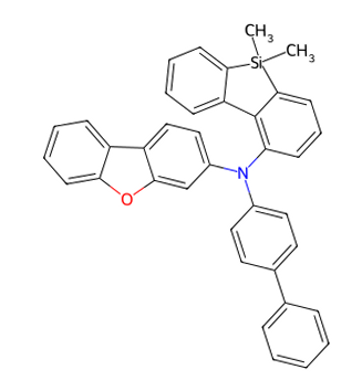 C[Si]1(C)c2ccccc2-c2c(N(c3ccc(-c4ccccc4)cc3)c3ccc4c(c3)oc3ccccc34)cccc21